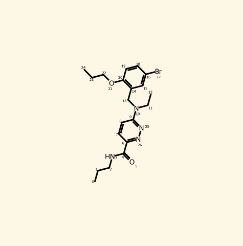 CCCNC(=O)c1ccc(N(CC)Cc2cc(Br)ccc2OCCC)nn1